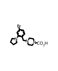 O=C(O)N1CCN(Cc2ccc(Br)cc2N2CCCC2)CC1